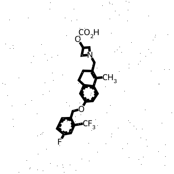 CC1=C(CN2CC(OC(=O)O)C2)CCc2cc(OCc3ccc(F)cc3C(F)(F)F)ccc21